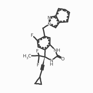 CC(F)(F)[C@@]1(C#CC2CC2)NC(=O)Nc2cc(Cn3cc4ccccc4n3)c(F)cc21